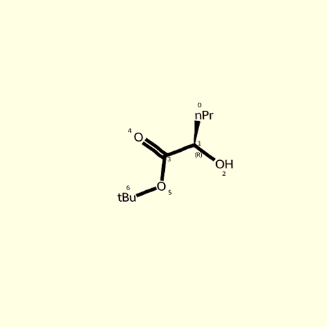 CCC[C@@H](O)C(=O)OC(C)(C)C